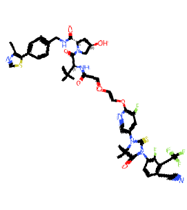 Cc1ncsc1-c1ccc(CNC(=O)[C@@H]2C[C@@H](O)CN2C(=O)[C@@H](NC(=O)COCCOc2ncc(N3C(=S)N(c4ccc(C#N)c(C(F)(F)F)c4F)C(=O)C3(C)C)cc2F)C(C)(C)C)cc1